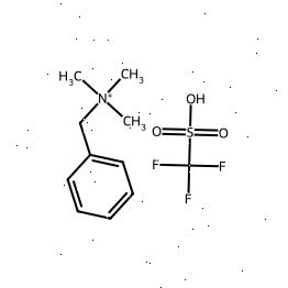 C[N+](C)(C)Cc1ccccc1.O=S(=O)(O)C(F)(F)F